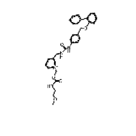 COCCNC(=O)OC[n+]1cccc(CNC(=O)Nc2ccc(COc3ccccc3-c3ccccc3)cc2)c1